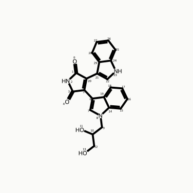 O=C1NC(=O)C(c2cn(CC(O)CO)c3ccccc23)=C1c1c[nH]c2ccccc12